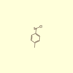 Cc1ccc([Se]Cl)cc1